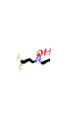 CCN(O)CC=C(F)F